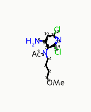 COCCCCN(C(C)=O)c1c(N)cc(Cl)nc1Cl